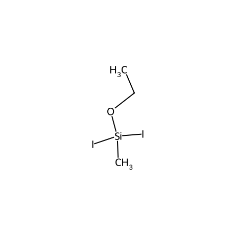 CCO[Si](C)(I)I